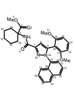 COC(=O)C1(NC(=O)c2cc(-c3c(OC)cccc3OC)n(-c3cccc4ccccc34)n2)CCCCC1